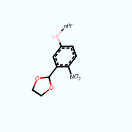 CCCBc1ccc([N+](=O)[O-])c(C2OCCO2)c1